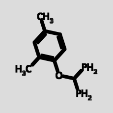 Cc1ccc(OC(P)P)c(C)c1